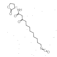 O=C=NCCCCCCCCCC(=O)CC(=O)N[C@H]1CCOC1=O